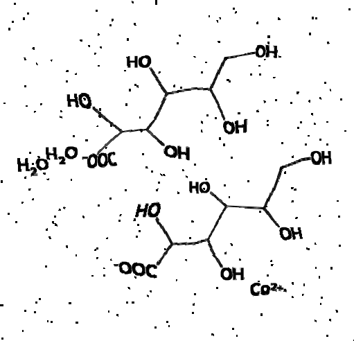 O.O.O=C([O-])C(O)C(O)C(O)C(O)CO.O=C([O-])C(O)C(O)C(O)C(O)CO.[Co+2]